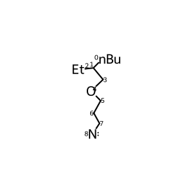 CCCCC(CC)COCCC[N]